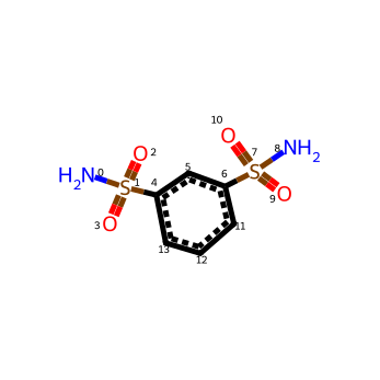 NS(=O)(=O)c1[c]c(S(N)(=O)=O)ccc1